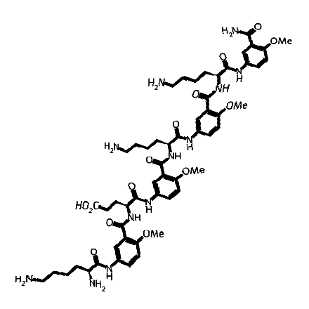 COc1ccc(NC(=O)[C@H](CCCCN)NC(=O)c2cc(NC(=O)[C@H](CCCCN)NC(=O)c3cc(NC(=O)[C@H](CCC(=O)O)NC(=O)c4cc(NC(=O)[C@@H](N)CCCCN)ccc4OC)ccc3OC)ccc2OC)cc1C(N)=O